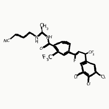 C[C@H](NCCCC#N)NC(=O)c1ccc(/C(F)=C/C(c2cc(Cl)c(Cl)c(Cl)c2)C(F)(F)F)cc1C(F)(F)F